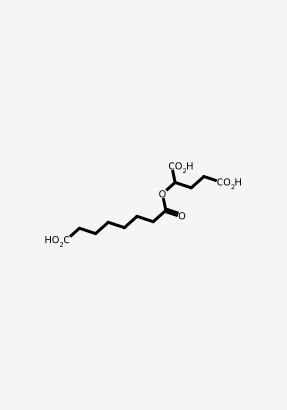 O=C(O)CCCCCCC(=O)OC(CCC(=O)O)C(=O)O